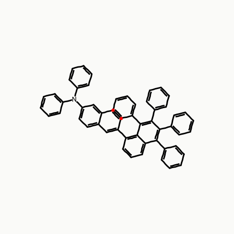 c1ccc(-c2c(-c3ccccc3)c(-c3ccccc3)c3c(-c4ccc5cc(N(c6ccccc6)c6ccccc6)ccc5c4)cccc3c2-c2ccccc2)cc1